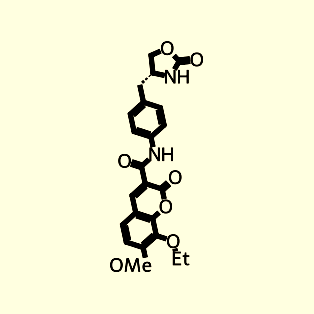 CCOc1c(OC)ccc2cc(C(=O)Nc3ccc(C[C@@H]4COC(=O)N4)cc3)c(=O)oc12